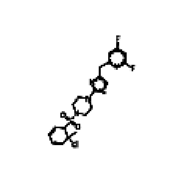 CC1(Cl)C=CC=CC1S(=O)(=O)N1CCN(c2nc(Cc3cc(F)cc(F)c3)cs2)CC1